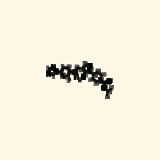 Cc1nc(-n2cncn2)ccc1OCc1cnn(C2CCN(C(=O)OC(C)C)CC2)c1N